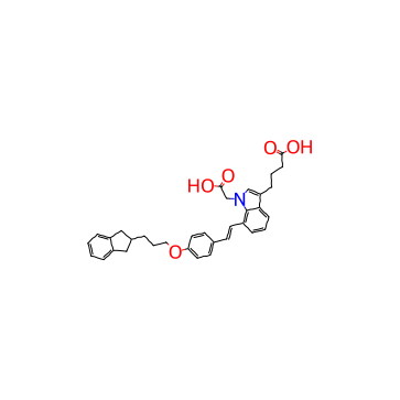 O=C(O)CCCc1cn(CC(=O)O)c2c(C=Cc3ccc(OCCCC4Cc5ccccc5C4)cc3)cccc12